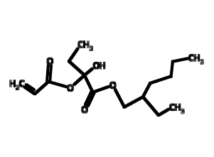 C=CC(=O)OC(O)(CC)C(=O)OCC(CC)CCCC